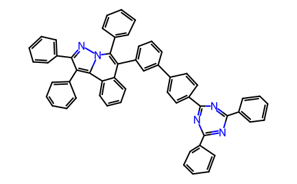 c1ccc(-c2nc(-c3ccccc3)nc(-c3ccc(-c4cccc(-c5c(-c6ccccc6)n6nc(-c7ccccc7)c(-c7ccccc7)c6c6ccccc56)c4)cc3)n2)cc1